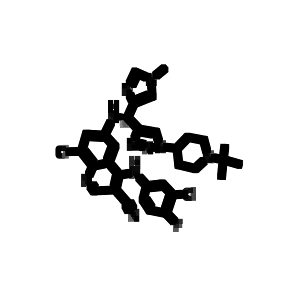 Cn1cnc([C@H](Nc2cc(Cl)c3ncc(C#N)c(Nc4ccc(F)c(Cl)c4)c3c2)c2cn(C3CCN(C(C)(C)C)CC3)nn2)c1